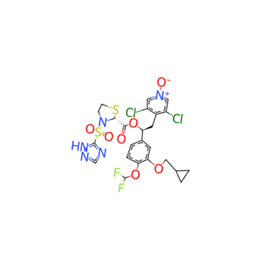 O=C(O[C@@H](Cc1c(Cl)c[n+]([O-])cc1Cl)c1ccc(OC(F)F)c(OCC2CC2)c1)[C@H]1SCCN1S(=O)(=O)c1ncn[nH]1